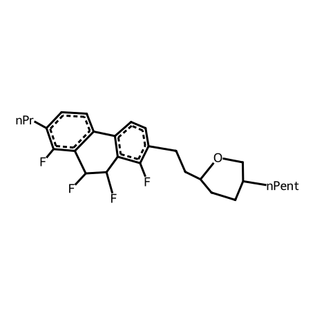 CCCCCC1CCC(CCc2ccc3c(c2F)C(F)C(F)c2c-3ccc(CCC)c2F)OC1